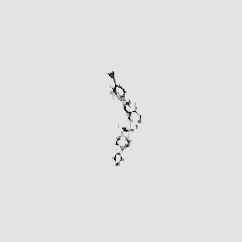 O=C(CN1CCc2nn(-c3ccc(C4CC4)nn3)cc2C1)N1CCN(C2CCC2)CC1